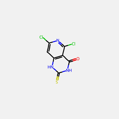 O=c1[nH]c(=S)[nH]c2cc(Cl)nc(Cl)c12